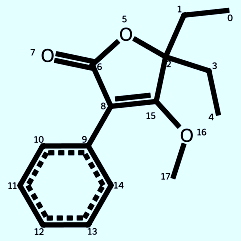 CCC1(CC)OC(=O)C(c2ccccc2)=C1OC